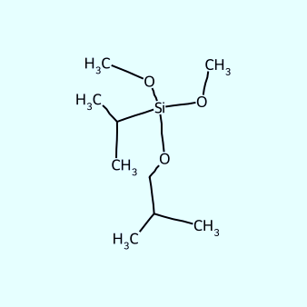 CO[Si](OC)(OCC(C)C)C(C)C